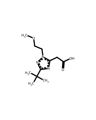 COCCn1nc(C(C)(C)C)nc1CC(=O)O